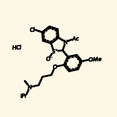 COc1ccc(OCCCN(C)C(C)C)c(C2N(C(C)=O)c3ccc(Cl)cc3[S+]2[O-])c1.Cl